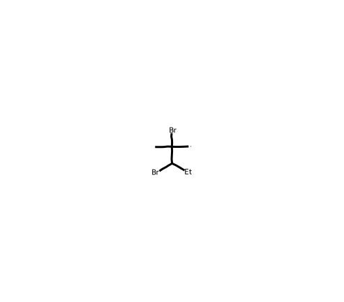 [CH2]C(C)(Br)C(Br)CC